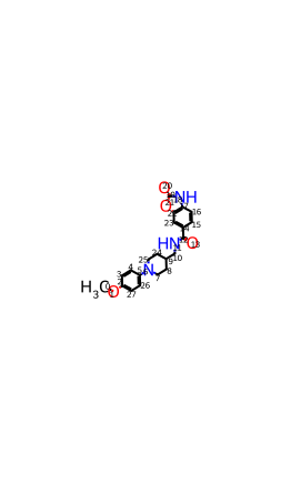 COc1ccc(N2CCC(CNC(=O)c3ccc4[nH]c(=O)oc4c3)CC2)cc1